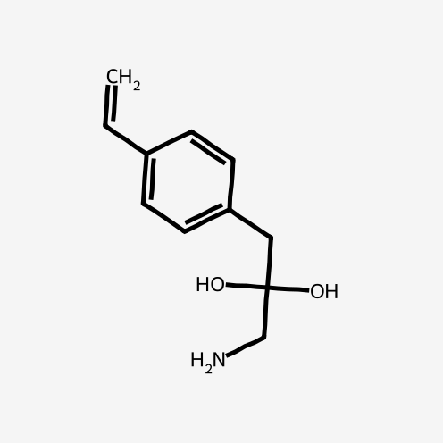 C=Cc1ccc(CC(O)(O)CN)cc1